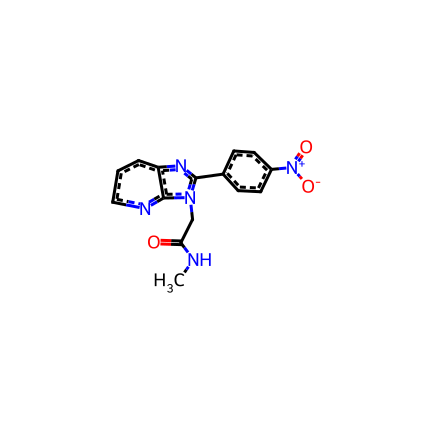 CNC(=O)Cn1c(-c2ccc([N+](=O)[O-])cc2)nc2cccnc21